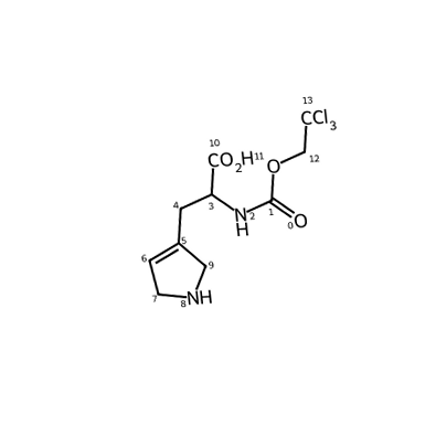 O=C(NC(CC1=CCNC1)C(=O)O)OCC(Cl)(Cl)Cl